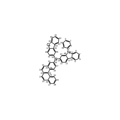 c1ccc(-n2c3ccccc3c3ccc(N(c4ccc5c(ccc6ccc7ccccc7c65)c4)c4ccc5oc6ccccc6c5c4)cc32)cc1